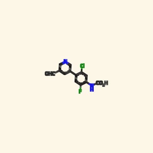 O=Cc1cncc(-c2cc(F)c(NC(=O)O)cc2Cl)c1